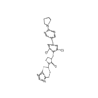 O=C1C(Cc2c(Cl)cc(-c3cnc(N4CCCC4)nc3)cc2Cl)CCN1C1CCc2[nH]cnc2C1